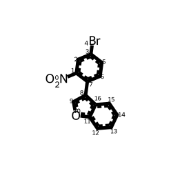 O=[N+]([O-])c1cc(Br)ccc1-c1coc2ccccc12